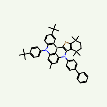 Cc1cc2c3c(c1)N(c1ccc(-c4ccccc4)cc1)c1c(sc4c1C(C)(C)CCC4(C)C)B3c1cc(C(C)(C)C)ccc1N2c1ccc(C(C)(C)C)cc1